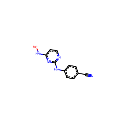 N#Cc1ccc(Nc2nccc(NO)n2)cc1